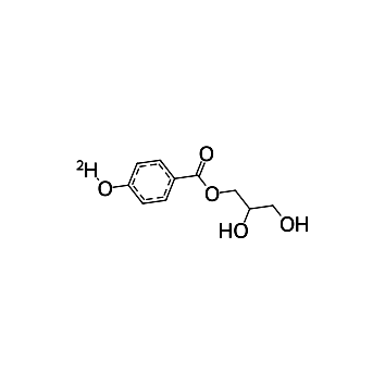 [2H]Oc1ccc(C(=O)OCC(O)CO)cc1